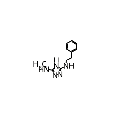 CNc1nnc(NCCc2ccccc2)[nH]1